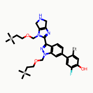 CCc1cc(O)c(F)cc1-c1ccc2c(-c3nc4c(n3COCC[Si](C)(C)C)CNC4)nn(COCC[Si](C)(C)C)c2c1